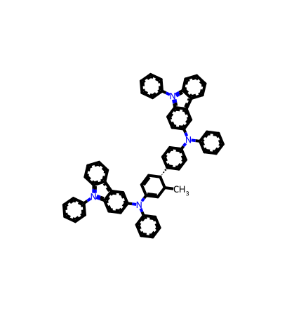 CC1C=C(N(c2ccccc2)c2ccc3c(c2)c2ccccc2n3-c2ccccc2)C=C[C@@H]1c1ccc(N(c2ccccc2)c2ccc3c(c2)c2ccccc2n3-c2ccccc2)cc1